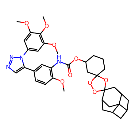 COc1ccc(-c2cnnn2-c2cc(OC)c(OC)c(OC)c2)cc1NC(=O)OC1CCCC2(C1)OOC1(O2)C2CC3CC4CC1CC34C2